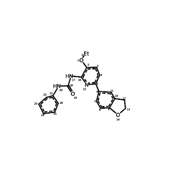 CCOc1ccc(-c2ccc3c(c2)CCO3)nc1NC(=O)Nc1ccccc1